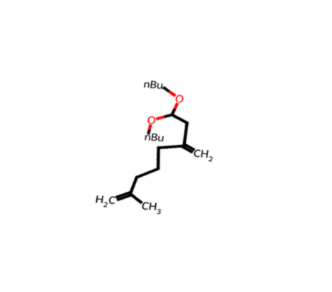 C=C(C)CCCC(=C)CC(OCCCC)OCCCC